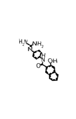 NC(N)=Nc1ccc(NC(=O)c2cc3ccccc3cc2O)cc1